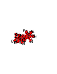 CCOC(C)OCC(O)COC(COC(COC(COC(COC(COC(COC(COC(COC(COC(COC(COCC1CC2C=CC1C2)COC(C)OCC)COC(C)OCC)COC(C)OCC)COC(C)OCC)COC(C)OCC)COC(C)OCC)COC(C)OCC)COC(C)OCC)COC(C)OCC)COC(C)OCC)COC(C)OCC